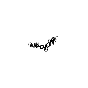 O=C(c1ccc(-c2cn(CC3COC3)nn2)cc1)N1CCN(c2nc3nc(Cl)ccc3o2)CC1